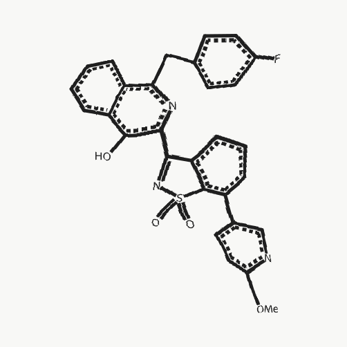 COc1ccc(-c2cccc3c2S(=O)(=O)N=C3c2nc(Cc3ccc(F)cc3)c3ccccc3c2O)cn1